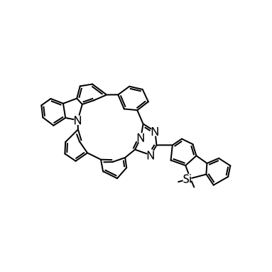 C[Si]1(C)c2ccccc2-c2ccc(-c3nc4nc(n3)-c3cccc(c3)-c3ccc5c6ccccc6n(c5c3)-c3cccc(c3)-c3cccc-4c3)cc21